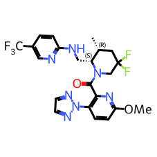 COc1ccc(-n2nccn2)c(C(=O)N2CC(F)(F)C[C@@H](C)[C@H]2CNc2ccc(C(F)(F)F)cn2)n1